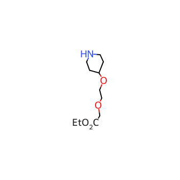 CCOC(=O)COCCOC1CCNCC1